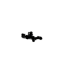 COC(=O)/N=C(SC)/C(=N\c1ccc(-c2noc(C)n2)cc1)c1cc(OC)c(OCCO[Si](C)(C)C(C)(C)C)cc1F